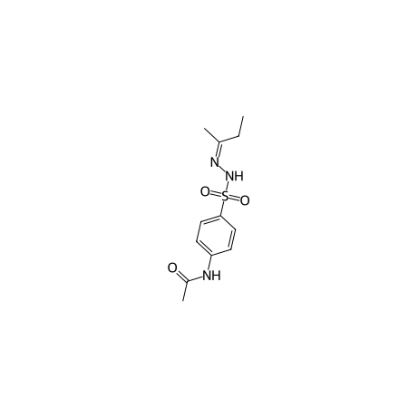 CCC(C)=NNS(=O)(=O)c1ccc(NC(C)=O)cc1